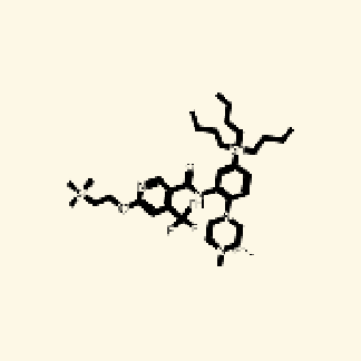 CCC[CH2][Sn]([CH2]CCC)([CH2]CCC)[c]1ccc(N2CCN(C)[C@@H](C)C2)c(NC(=O)c2cnc(OCC[Si](C)(C)C)cc2C(F)(F)F)c1